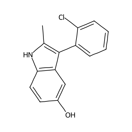 Cc1[nH]c2ccc(O)cc2c1-c1ccccc1Cl